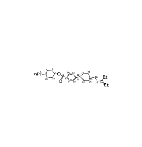 CCC[C@H]1CC[C@H](OC(=O)c2ccc(C3=CCC(CCC(CC)CC)CC3)cc2)CC1